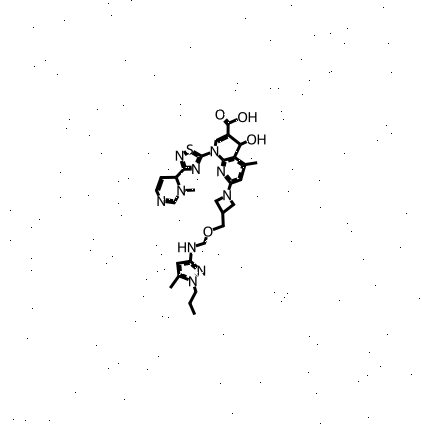 CCCn1nc(NCOCC2CN(c3cc(C)c4c(n3)N(c3nc(C5C=CN=CN5C)ns3)C=C(C(=O)O)C4O)C2)cc1C